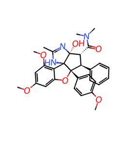 COc1ccc([C@@]23Oc4cc(OC)cc(OC)c4[C@@]24NC(C)=N[C@@]4(O)[C@H](C(=O)N(C)C)[C@H]3c2ccccc2)cc1